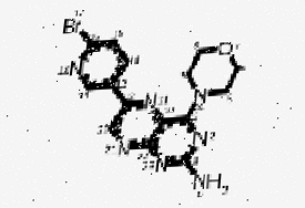 Nc1nc(N2CCOCC2)c2nc(-c3ccc(Br)nc3)cnc2n1